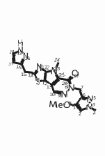 COc1cn(C)nc1Cn1ncc2c3sc(Cc4cc[nH]n4)nc3n(C)c2c1=O